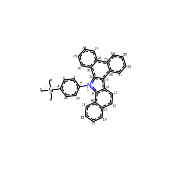 C[Si](C)(C)c1ccc(-n2c3c4ccccc4ccc3c3c4ccccc4c4ccccc4c32)cc1